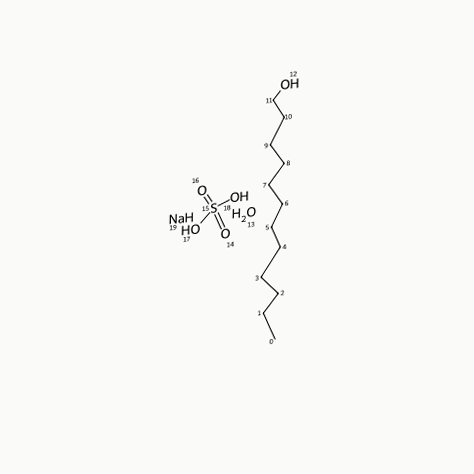 CCCCCCCCCCCCO.O.O=S(=O)(O)O.[NaH]